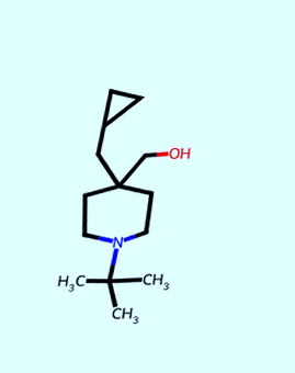 CC(C)(C)N1CCC(CO)(CC2CC2)CC1